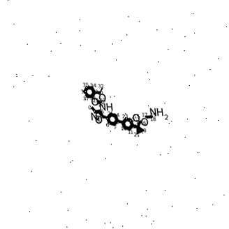 Cc1noc(-c2ccc(-c3ccc(C4(C(=O)OCCN)CC4)cc3)cc2)c1NC(=O)O[C@H](C)c1ccccc1